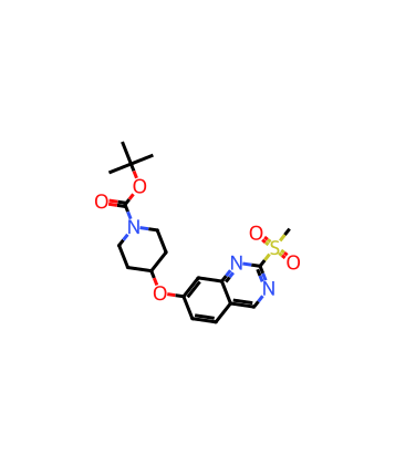 CC(C)(C)OC(=O)N1CCC(Oc2ccc3cnc(S(C)(=O)=O)nc3c2)CC1